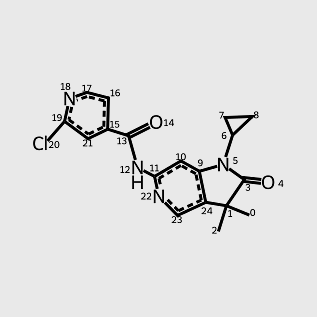 CC1(C)C(=O)N(C2CC2)c2cc(NC(=O)c3ccnc(Cl)c3)ncc21